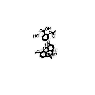 CC(=O)Oc1ccccc1C(=O)O.COC1=C2O[C@H]3C(=O)C=C[C@H]4[C@H]5CC(C=C1)C2[C@@]34CCN5C.Cl